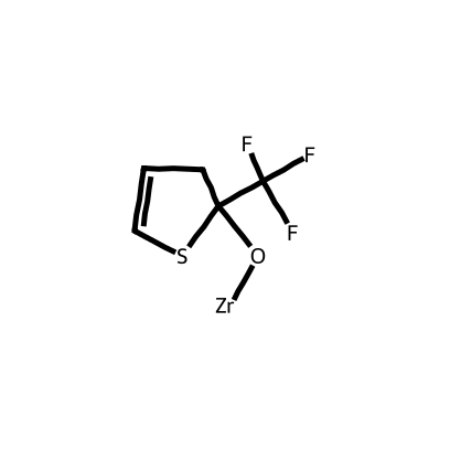 FC(F)(F)C1([O][Zr])CC=CS1